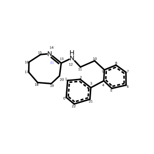 c1ccc(-c2ccccc2CCN/C2=N/CCCCCC2)cc1